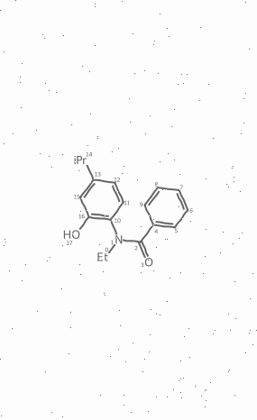 CCN(C(=O)c1ccccc1)c1ccc(C(C)C)cc1O